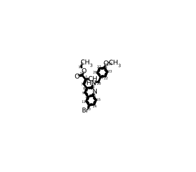 CCOC(=O)/C(C)=C/c1cc2cc(Br)ccc2nc1NCc1ccc(OC)cc1